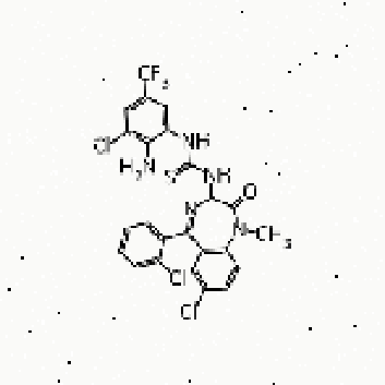 CN1C(=O)C(NC(=S)Nc2cc(C(F)(F)F)cc(Cl)c2N)N=C(c2ccccc2Cl)c2cc(Cl)ccc21